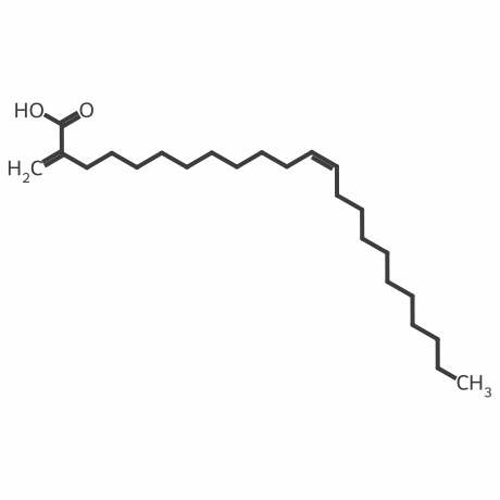 C=C(CCCCCCCCC/C=C\CCCCCCCCCC)C(=O)O